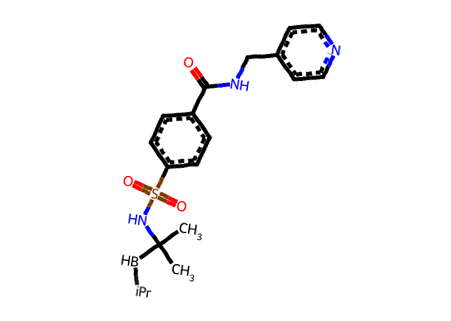 CC(C)BC(C)(C)NS(=O)(=O)c1ccc(C(=O)NCc2ccncc2)cc1